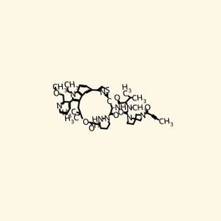 CC#CC(=O)N1CC2(CCN2C(=O)N(C)C(C(=O)N[C@H]2Cc3nc(cs3)-c3ccc4c(c3)c(c(-c3cccnc3COC)n4CC)CC(C)(C)COC(=O)[C@@H]3CCCN(N3)C2=O)C(C)C)C1